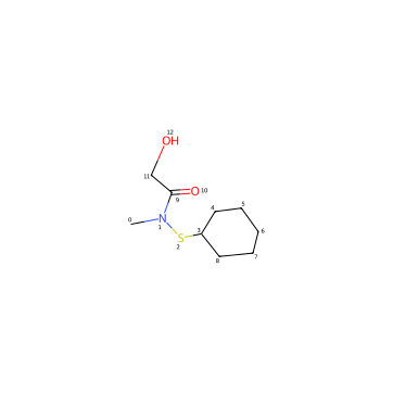 CN(SC1CCCCC1)C(=O)CO